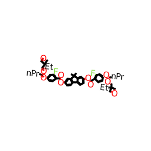 CCCC(OCC1(CC)COC1)Oc1ccc(C(=O)Oc2ccc3c(c2)C(C)(C)c2cc(OC(=O)c4ccc(OC(CCC)OCC5(CC)COC5)cc4F)ccc2-3)c(F)c1